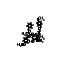 COc1ccc(COC/C=C/C(C)(C)[C@]2(OC)O[C@H](CC(OCc3ccc(OC)cc3)[C@@H](C)OCc3ccccc3)C[C@H](O)[C@@H]2O)cc1